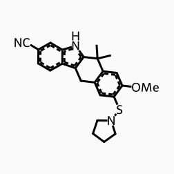 COc1cc2c(cc1SN1CCCC1)Cc1c([nH]c3cc(C#N)ccc13)C2(C)C